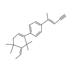 C#C/C=C(\C)c1ccc(C2=CCC(C)(C)/C(=C\C)C2(C)C)cc1